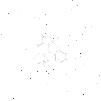 CN1C2CCC1(C(c1ccccc1)N(C(=O)O)C(C)(C)C)CC2